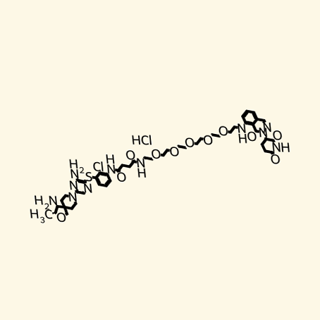 C[C@@H]1OCC2(CCN(c3cnc(Sc4cccc(NC(=O)CCC(=O)NCCOCCOCCOCCOCCOCCNc5cccc6cnn(C7CCC(=O)NC7=O)c(=O)c56)c4Cl)c(N)n3)CC2)[C@@H]1N.Cl